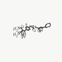 CC(C)n1nc(-c2ccc(CC(=O)Nc3cc(C4CCCCC4)no3)c(F)c2)c(C(N)=O)c1N